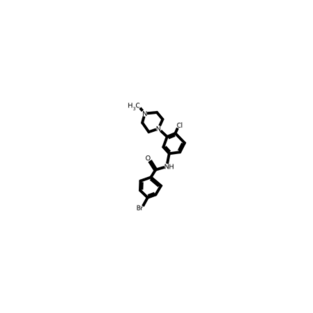 CN1CCN(c2cc(NC(=O)c3ccc(Br)cc3)ccc2Cl)CC1